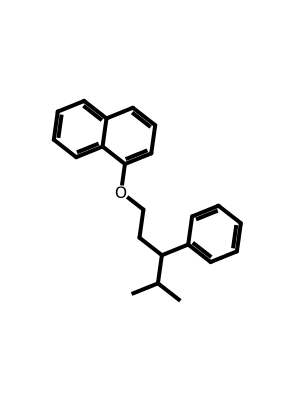 CC(C)C(CCOc1cccc2ccccc12)c1ccccc1